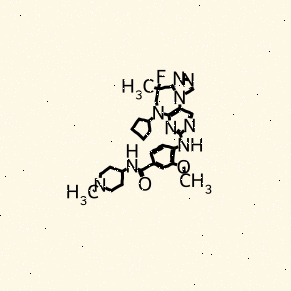 COc1cc(C(=O)NC2CCN(C)CC2)ccc1Nc1ncc2c(n1)N(C1CCCC1)CC(C)(F)c1nncn1-2